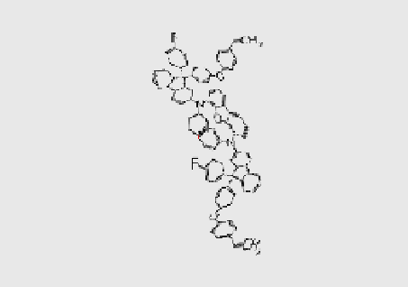 C=CC1=CCC(OC2=CC=C(C3(C4C=CC(F)=CC4)C4CCC=CC4C4C=CC(N(c5cccc6c5oc5c(N(C7=CC8C(C=C7)c7ccccc7C8(C7=CCC(Oc8ccc(C=C)cc8)C=C7)C7=CC=C(F)CC7)c7ccccc7)cccc56)C5CC=CCC5)CC43)CC2)C=C1